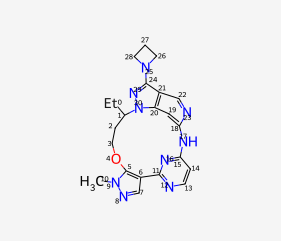 CCC1CCOc2c(cnn2C)-c2nccc(n2)Nc2cc3c(cn2)c(N2CCC2)nn31